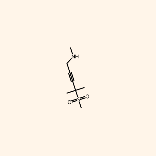 CNCC#CC(C)(C)S(C)(=O)=O